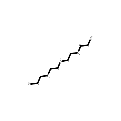 ClCCSCCOCCSCCCl